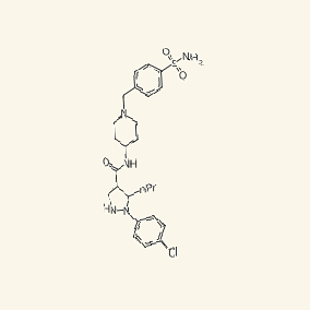 CCCC1C(C(=O)NC2CCN(Cc3ccc(S(N)(=O)=O)cc3)CC2)CNN1c1ccc(Cl)cc1